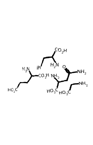 CC(C)CC(N)C(=O)O.NC(=O)CC(N)C(=O)O.NC(CCC(=O)O)C(=O)O.NCC(=O)O